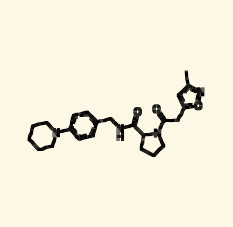 Cc1cc(CC(=O)N2CCCC2C(=O)NCc2ccc(N3CCCCC3)cc2)on1